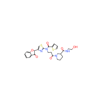 O=C(NCCO)C1CCCN(C(=O)CCN(C(=O)c2cccs2)c2nc(C3Oc4ccccc4C3=O)cs2)C1